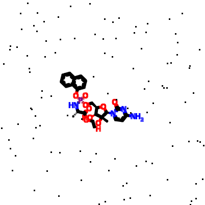 CCOC(=O)[C@H](C)NP(=O)(OC[C@H]1O[C@@H](n2ccc(N)nc2=O)[C@](C)(O)[C@@H]1O)Oc1cccc2ccccc12